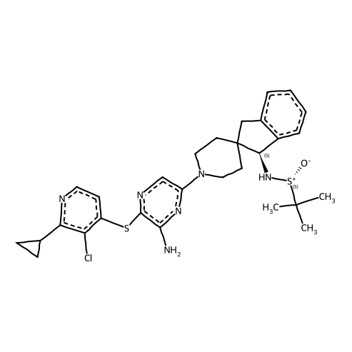 CC(C)(C)[S@@+]([O-])N[C@@H]1c2ccccc2CC12CCN(c1cnc(Sc3ccnc(C4CC4)c3Cl)c(N)n1)CC2